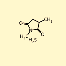 CC1CC(=O)N(C)C1=O.S